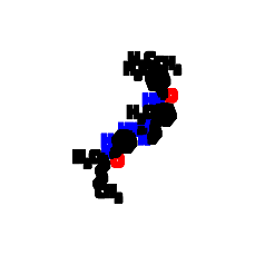 CCCCCC(C)NC(=O)c1ccc(Nc2nccc(-c3cccc(NC(=O)c4ccc(C(C)(C)C)cc4)c3C)n2)cc1